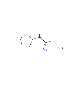 CCC(=N)NC1CCCC1